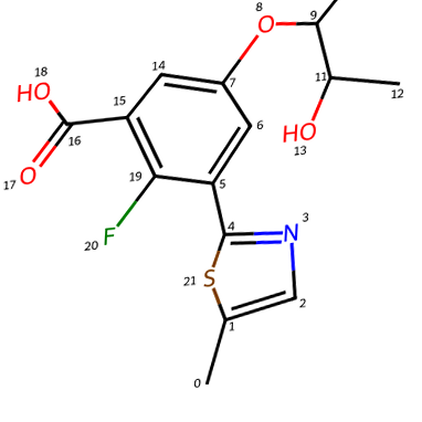 Cc1cnc(-c2cc(OC(C)C(C)O)cc(C(=O)O)c2F)s1